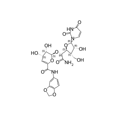 NC(=O)[C@H](O[C@H]1OC(C(=O)Nc2ccc3c(c2)OCO3)=C[C@H](O)[C@@H]1O)[C@H]1O[C@@H](n2ccc(=O)[nH]c2=O)[C@H](O)[C@@H]1CO